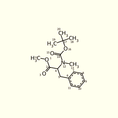 COC(=O)C(Cc1ccccc1)N(C)C(=O)OC(C)(C)C